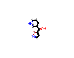 OC(c1ccno1)C1CCCNC1